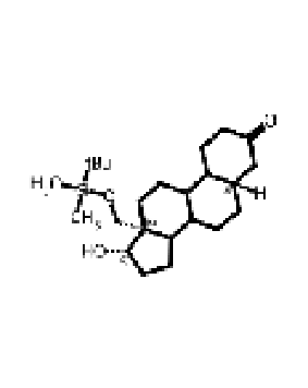 CC(C)(C)[Si](C)(C)OC[C@]12CCC3C(CC[C@H]4CC(=O)CCC34)C1CC[C@@H]2O